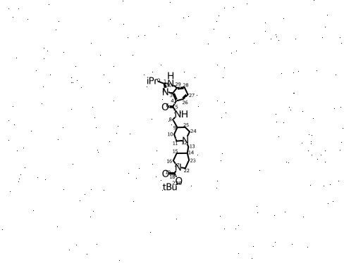 CC(C)c1nc2c(C(=O)NCC3CCN(CC4CCN(C(=O)OC(C)(C)C)CC4)CC3)cccc2[nH]1